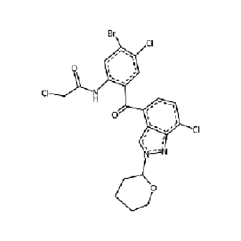 O=C(CCl)Nc1cc(Br)c(Cl)cc1C(=O)c1ccc(Cl)c2nn(C3CCCCO3)cc12